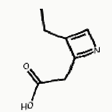 CCC1=CN=C1CC(=O)O